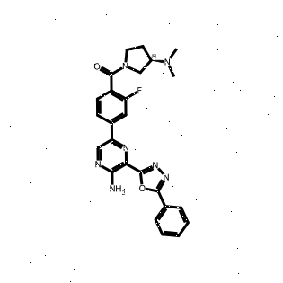 CN(C)[C@@H]1CCN(C(=O)c2ccc(-c3cnc(N)c(-c4nnc(-c5ccccc5)o4)n3)cc2F)C1